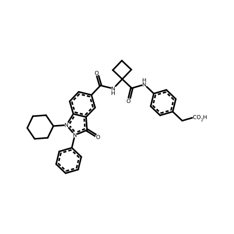 O=C(O)Cc1ccc(NC(=O)C2(NC(=O)c3ccc4c(c3)c(=O)n(-c3ccccc3)n4C3CCCCC3)CCC2)cc1